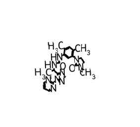 Cc1cc(C)c(N2CCN(C)C2=O)cc1NC(=O)NC(C)c1ncnn1-c1ncccn1